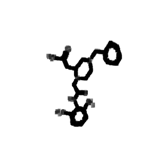 Cc1cccc(C)c1NC(=O)CN1CCN(Cc2ccccc2)CC1CC(N)=O